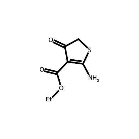 CCOC(=O)C1=C(N)SCC1=O